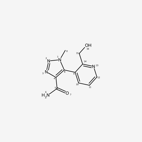 Cn1nnc(C(N)=O)c1-c1cccnc1CO